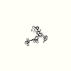 O=C(/C=C/CN1C[C@H]2C[C@@H]1CO2)N1CCN(c2nc(OC[C@@]34CCCN3C[C@H](F)C4)nc3c(F)c(-c4cccc(Cl)c4C(F)(F)F)ncc23)CC12COC2